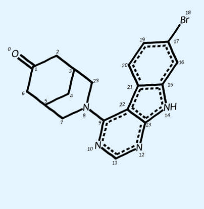 O=C1CC2CC(C1)CN(c1ncnc3[nH]c4cc(Br)ccc4c13)C2